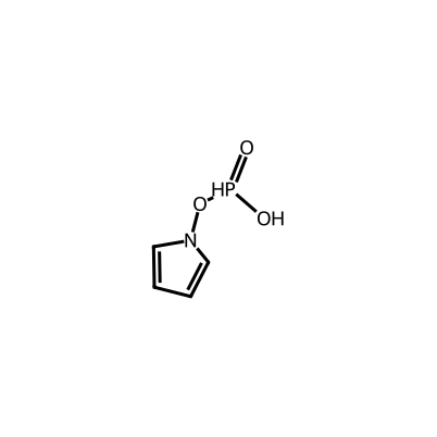 O=[PH](O)On1cccc1